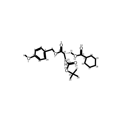 COc1ccc(COC(=O)[C@H](COC(=O)C2CCCCC2)NC(=O)OC(C)(C)C)cc1